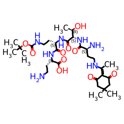 CC(NCC[C@H](N)C(=O)N[C@H](C(=O)N[C@@H](CCNC(=O)OC(C)(C)C)C(=O)N[C@@H](CCN)C(=O)O)[C@@H](C)O)=C1C(=O)CC(C)(C)CC1=O